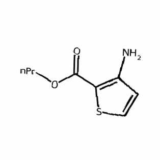 CCCOC(=O)c1sccc1N